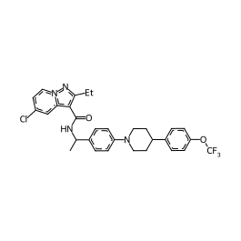 CCc1nn2ccc(Cl)cc2c1C(=O)NC(C)c1ccc(N2CCC(c3ccc(OC(F)(F)F)cc3)CC2)cc1